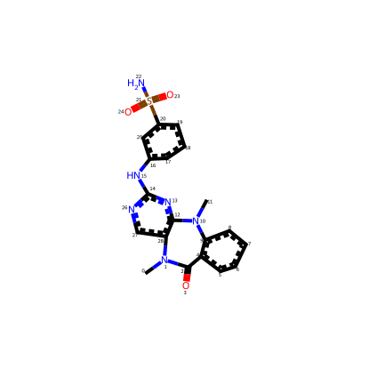 CN1C(=O)c2ccccc2N(C)c2nc(Nc3cccc(S(N)(=O)=O)c3)ncc21